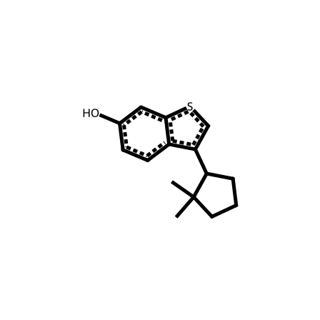 CC1(C)CCCC1c1csc2cc(O)ccc12